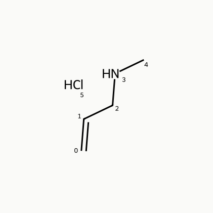 C=CCNC.Cl